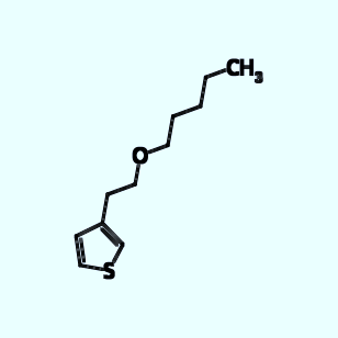 CCCCCOCCc1ccsc1